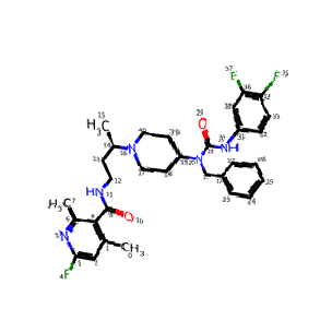 Cc1cc(F)nc(C)c1C(=O)NCC[C@@H](C)N1CCC(N(Cc2ccccc2)C(=O)Nc2ccc(F)c(F)c2)CC1